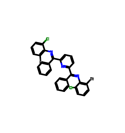 CCc1cccc(Cl)c1/N=C(\c1ccccc1)c1cccc(/C(=N/c2c(Cl)cccc2CC)c2ccccc2)n1